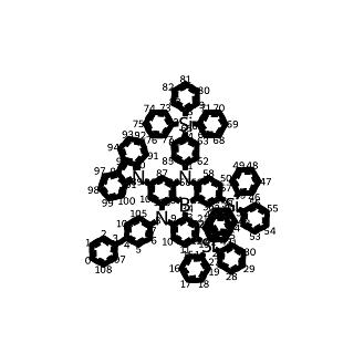 c1ccc(-c2ccc(N3c4ccc([Si](c5ccccc5)(c5ccccc5)c5ccccc5)cc4B4c5cc([Si](c6ccccc6)(c6ccccc6)c6ccccc6)ccc5N(c5ccc([Si](c6ccccc6)(c6ccccc6)c6ccccc6)cc5)c5cc(-n6c7ccccc7c7ccccc76)cc3c54)cc2)cc1